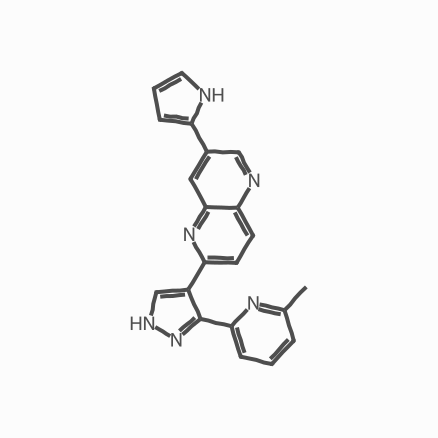 Cc1cccc(-c2n[nH]cc2-c2ccc3ncc(-c4ccc[nH]4)cc3n2)n1